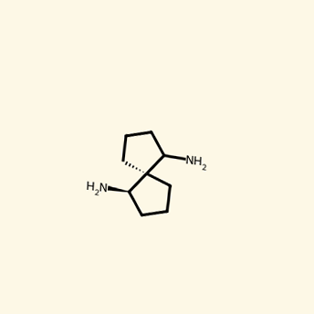 NC1CCC[C@@]12CCC[C@H]2N